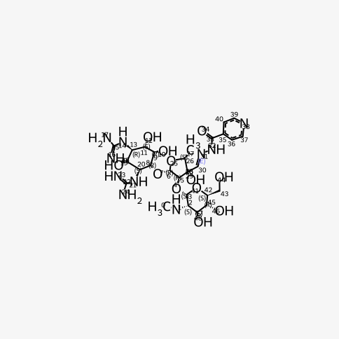 CN[C@@H]1[C@H](O[C@H]2[C@H](O[C@H]3[C@H](O)[C@@H](O)[C@H](NC(=N)N)[C@@H](O)[C@@H]3NC(=N)N)O[C@@H](C)[C@]2(O)/C=N/NC(=O)c2ccncc2)O[C@@H](CO)[C@H](O)[C@H]1O